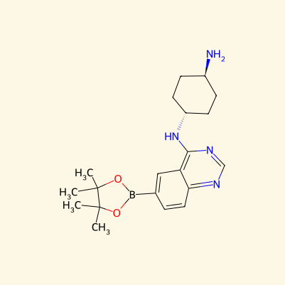 CC1(C)OB(c2ccc3ncnc(N[C@H]4CC[C@H](N)CC4)c3c2)OC1(C)C